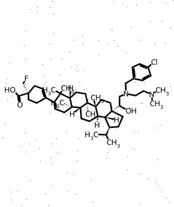 CC(C)[C@@H]1CC[C@]2(C(O)CN(CCN(C)C)Cc3ccc(Cl)cc3)CC[C@]3(C)[C@H](CC[C@@H]4[C@@]5(C)CC=C(C6=CC[C@](CF)(C(=O)O)CC6)C(C)(C)[C@@H]5CC[C@]43C)[C@@H]12